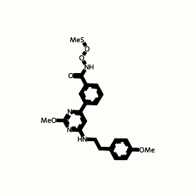 COc1ccc(CCNc2cc(-c3cccc(C(=O)NOOSC)c3)nc(OC)n2)cc1